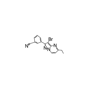 CCc1ccn2nc(-c3cccc(C#N)c3)c(Br)c2n1